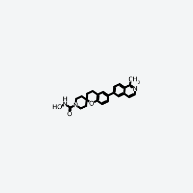 Cc1nccc2cc(-c3ccc4c(c3)CCC3(CCN(C(=O)NO)CC3)O4)ccc12